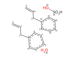 C=CCc1ccccc1.C=CCc1ccccc1.O.O=S(=O)(O)O